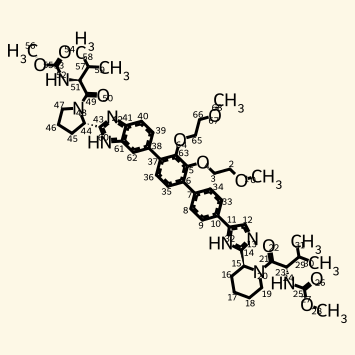 COCCOc1c(-c2ccc(-c3cnc([C@@H]4CCCCN4C(=O)[C@@H](NC(=O)OC)C(C)C)[nH]3)cc2)ccc(-c2ccc3nc([C@@H]4CCCN4C(=O)[C@@H](NC(=O)OC)C(C)C)[nH]c3c2)c1OCCOC